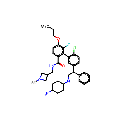 COCCOc1ccc(C(=O)NCC2CN(C(C)=O)C2)c(-c2cc(C(CNC3CCC(N)CC3)c3ccccc3)ccc2Cl)c1F